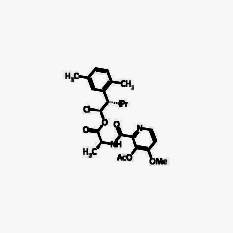 COc1ccnc(C(=O)N[C@@H](C)C(=O)O[C@@H](Cl)[C@H](c2cc(C)ccc2C)C(C)C)c1OC(C)=O